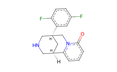 O=c1cccc2n1C[C@]1(c3cc(F)ccc3F)CNC[C@H]2C1